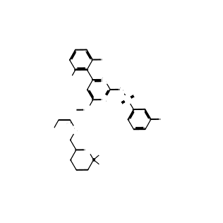 Cc1cccc(C)c1-c1cc(OC[C@@H](CC(C)(C)C)NCC2CCCC(C)(C)O2)nc(NS(=O)(=O)c2cccc(C(=O)O)c2)n1